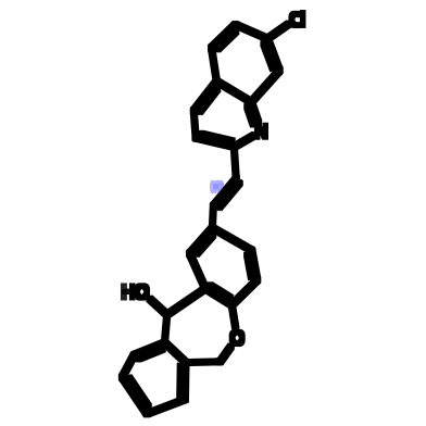 OC1c2ccccc2COc2ccc(/C=C/c3ccc4ccc(Cl)cc4n3)cc21